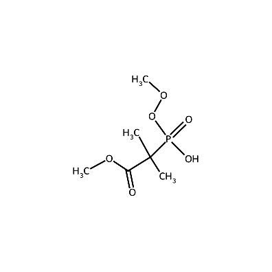 COOP(=O)(O)C(C)(C)C(=O)OC